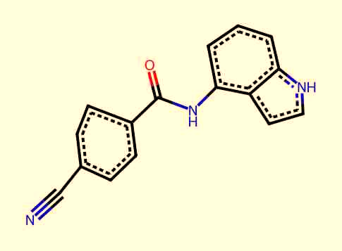 N#Cc1ccc(C(=O)Nc2cccc3[nH]ccc23)cc1